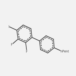 CCCCCc1ccc(-c2ccc(I)c(F)c2F)cc1